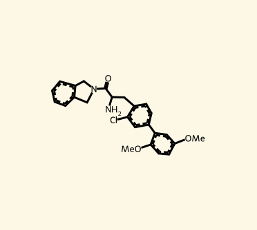 COc1ccc(OC)c(-c2ccc(CC(N)C(=O)N3Cc4ccccc4C3)c(Cl)c2)c1